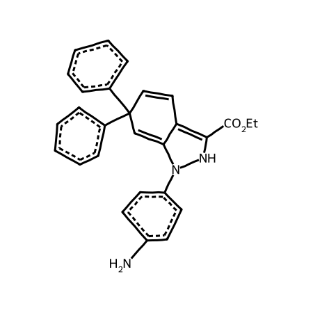 CCOC(=O)C1=C2C=CC(c3ccccc3)(c3ccccc3)C=C2N(c2ccc(N)cc2)N1